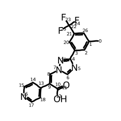 Cc1cc(-c2ncn(/C=C(\C(=O)O)c3ccncc3)n2)cc(C(F)(F)F)c1